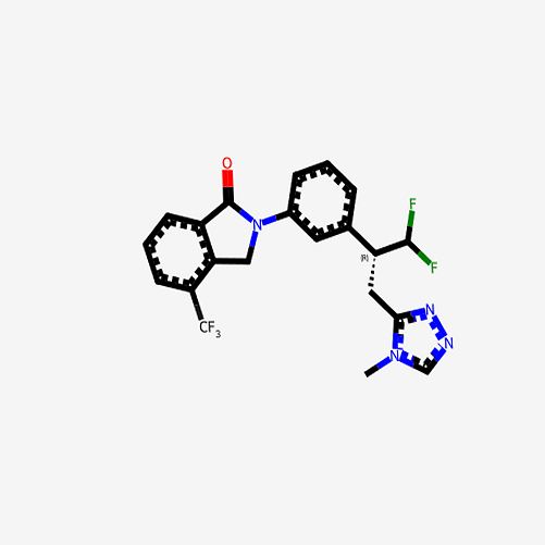 Cn1cnnc1C[C@H](c1cccc(N2Cc3c(cccc3C(F)(F)F)C2=O)c1)C(F)F